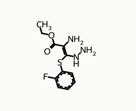 CCOC(=O)/C(N)=C(/NN)Sc1ccccc1F